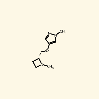 CN1CC[C@@H]1COc1cnn(C)c1